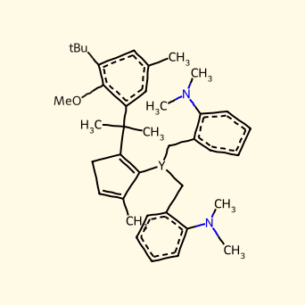 COc1c(C(C)(C)C)cc(C)cc1C(C)(C)C1=[C]([Y]([CH2]c2ccccc2N(C)C)[CH2]c2ccccc2N(C)C)C(C)=CC1